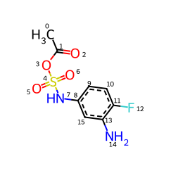 CC(=O)OS(=O)(=O)Nc1ccc(F)c(N)c1